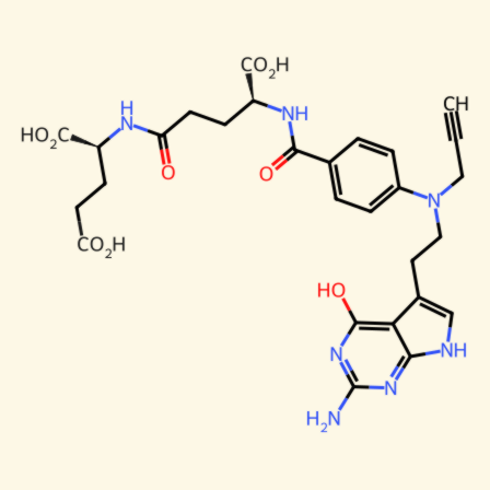 C#CCN(CCc1c[nH]c2nc(N)nc(O)c12)c1ccc(C(=O)N[C@@H](CCC(=O)N[C@@H](CCC(=O)O)C(=O)O)C(=O)O)cc1